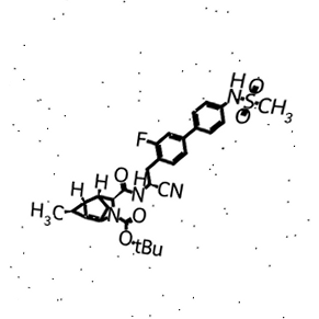 C[C@@H]1C2=C3C[C@H]([C@H]21)[C@@H](C(=O)N[C@H](C#N)Cc1ccc(-c2ccc(NS(C)(=O)=O)cc2)cc1F)N3C(=O)OC(C)(C)C